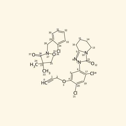 C#CCOc1cc(-n2nc3n(c2=O)CCCC3)c(Cl)cc1Cl.CC1(C)CON(Cc2ccccc2Cl)C1=O